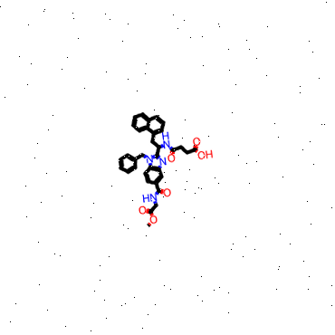 COC(=O)CNC(=O)c1ccc2c(c1)nc(C(Cc1cccc3ccccc13)NC(=O)CCC(=O)O)n2Cc1ccccc1